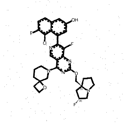 Oc1cc(-c2ncc3c(N4CCCC5(CCO5)C4)nc(OC[C@@]45CCCN4C[C@H](F)C5)nc3c2F)c2c(Cl)c(F)ccc2c1